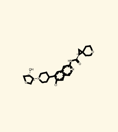 O=C(Nc1cc2cc(C3CCN([C@@H]4COC[C@@H]4O)CC3)c(Cl)cc2cn1)[C@H]1CC12CCOCC2